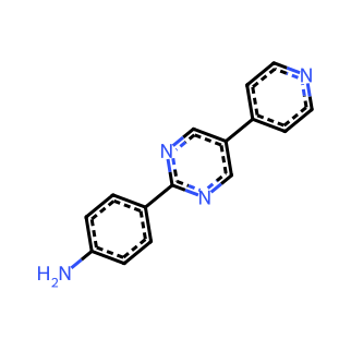 Nc1ccc(-c2ncc(-c3ccncc3)cn2)cc1